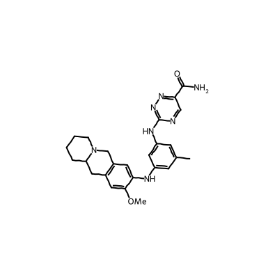 COc1cc2c(cc1Nc1cc(C)cc(Nc3ncc(C(N)=O)nn3)c1)CN1CCCCC1C2